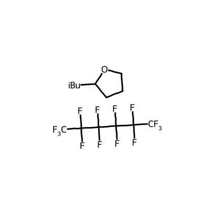 CCC(C)C1CCCO1.FC(F)(F)C(F)(F)C(F)(F)C(F)(F)C(F)(F)C(F)(F)F